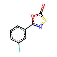 O=c1oc(-c2cccc(F)c2)ns1